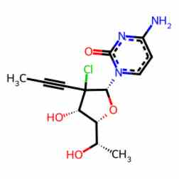 CC#CC1(Cl)[C@@H](O)[C@@H]([C@H](C)O)O[C@H]1n1ccc(N)nc1=O